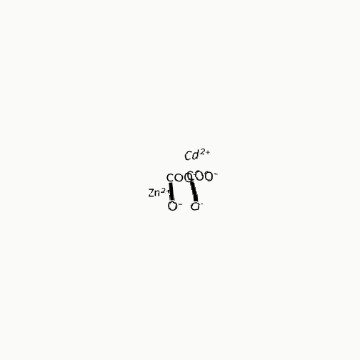 O=C([O-])[O-].O=C([O-])[O-].[Cd+2].[Zn+2]